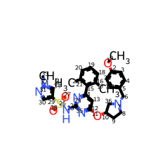 COc1ccc(CN2CCC(Oc3cc(-c4c(C)cccc4C)nc(NS(=O)(=O)c4cnn(C)c4)n3)C2)cc1